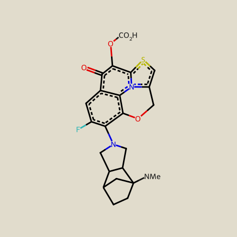 CNC12CCC(C1)C1CN(c3c(F)cc4c(=O)c(OC(=O)O)c5scc6n5c4c3OC6)CC12